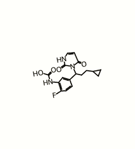 O=C(O)Nc1cc(C(CCC2CC2)n2c(=O)cc[nH]c2=O)ccc1F